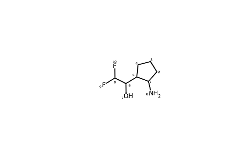 NC1CCCC1C(O)C(F)F